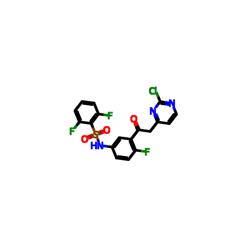 O=C(Cc1ccnc(Cl)n1)c1cc(NS(=O)(=O)c2c(F)cccc2F)ccc1F